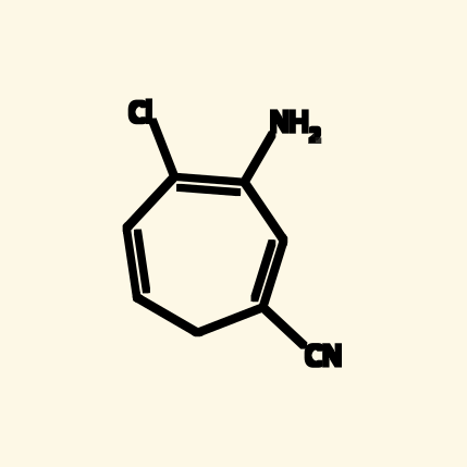 N#CC1=CC(N)=C(Cl)C=CC1